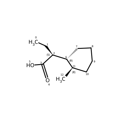 CC[C@H](C(=O)O)[C@@H]1CCCC[C@H]1C